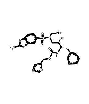 CC(C)CN(C[C@@H](O)[C@H](Cc1ccccc1)NC(=O)OCc1cnco1)S(=O)(=O)c1ccc2nc(N)oc2c1